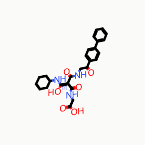 O=C(O)CNC(=O)/C(C(=O)NCC(=O)c1ccc(-c2ccccc2)cc1)=C(\O)NC1CCCCC1